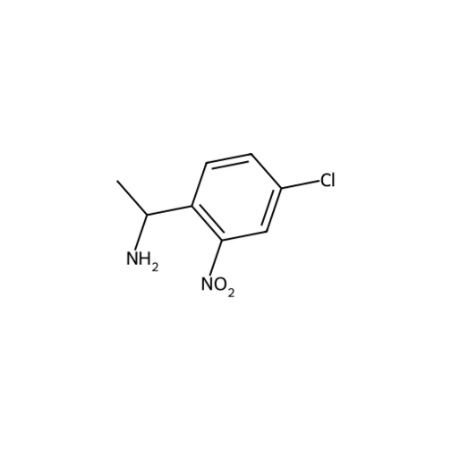 CC(N)c1ccc(Cl)cc1[N+](=O)[O-]